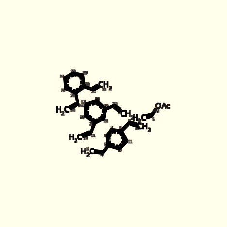 C=COC(C)=O.C=Cc1ccc(C=C)cc1.C=Cc1cccc(C=C)c1.C=Cc1ccccc1C=C